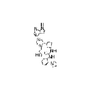 O=C(Nc1cccc(C2CN(c3ncnc4[nH]ccc34)CCN2CCO)c1)Nc1ccccc1N1CCCC1